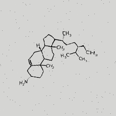 CC[C@H](CC[C@@H](C)C1CCC2[C@H]3CC=C4C[C@@H](N)CCC4(C)C3CCC21C)C(C)C